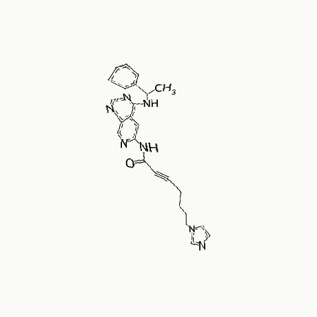 CC(Nc1ncnc2cnc(NC(=O)C#CCCCCn3ccnc3)cc12)c1ccccc1